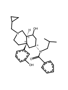 CC(C)CN(C(=O)c1ccccc1)[C@H]1CC(O)[C@@H]2CN(CC3CC3)CC[C@@]2(c2cccc(O)c2)C1